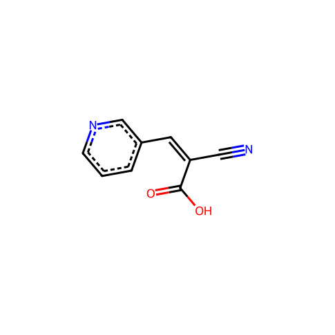 N#CC(=Cc1cccnc1)C(=O)O